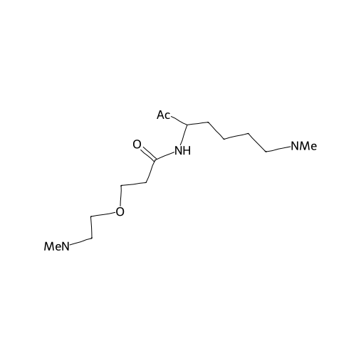 CNCCCCC(NC(=O)CCOCCNC)C(C)=O